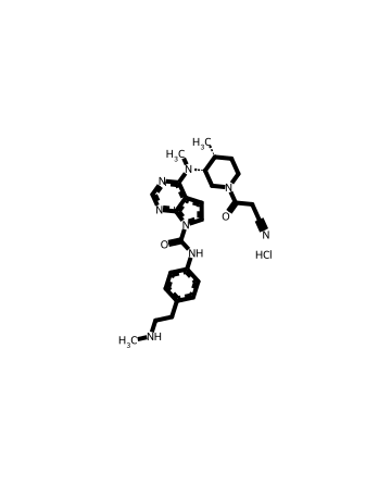 CNCCc1ccc(NC(=O)n2ccc3c(N(C)[C@H]4CN(C(=O)CC#N)CC[C@H]4C)ncnc32)cc1.Cl